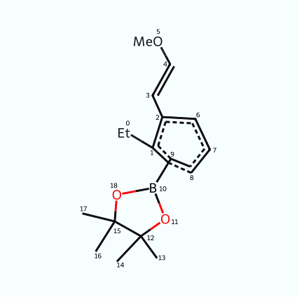 CCc1c(/C=C/OC)cccc1B1OC(C)(C)C(C)(C)O1